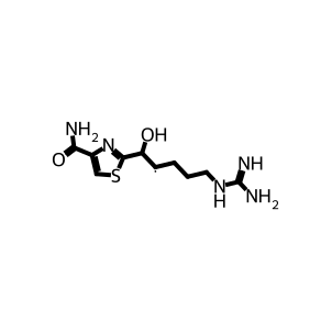 N=C(N)NCCC[CH]C(O)c1nc(C(N)=O)cs1